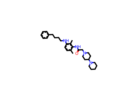 Cc1ccc(NCCCCc2ccccc2)c(C)c1NC(=O)CN1CCC(N2CCCCC2)CC1